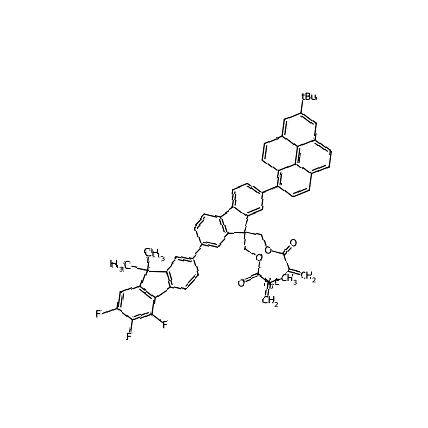 C=C(C)C(=O)OCC1(COC(=O)C(=C)C)c2cc(-c3ccc4c(c3)C(C)(C)c3cc(F)c(F)c(F)c3-4)ccc2-c2ccc(-c3ccc4ccc5cc(C(C)(C)C)cc6ccc3c4c56)cc21